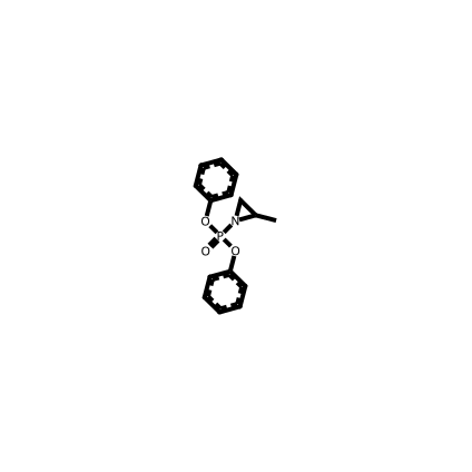 CC1CN1P(=O)(Oc1ccccc1)Oc1ccccc1